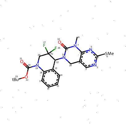 CSc1ncc2c(n1)N(C)C(=O)N(C1c3ccccc3N(C(=O)OC(C)(C)C)CC1(F)F)C2